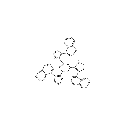 c1ccc2c(-c3ccsc3-c3cc(-c4sccc4-c4cccc5ccccc45)cc(-c4sccc4-c4cccc5ccccc45)c3)cccc2c1